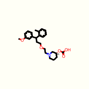 COc1cccc(C(CCOCCN2CCC[C@@H](OC(=O)O)C2)c2ccccc2C)c1